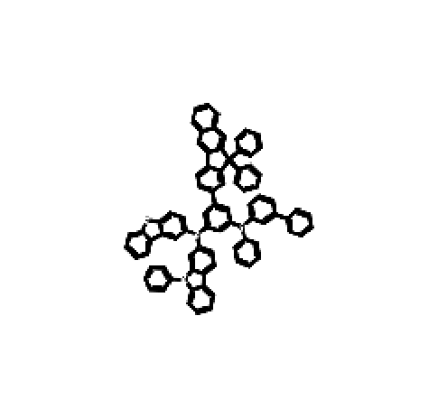 c1ccc(-c2cccc(N(c3ccccc3)c3cc(-c4ccc5c(c4)C(c4ccccc4)(c4ccccc4)c4cc6ccccc6cc4-5)cc(N(c4ccc5sc6ccccc6c5c4)c4ccc5c6ccccc6n(-c6ccccc6)c5c4)c3)c2)cc1